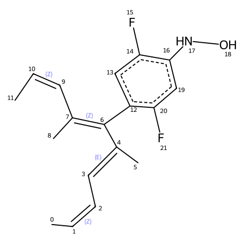 C\C=C/C=C(C)/C(=C(C)/C=C\C)c1cc(F)c(NO)cc1F